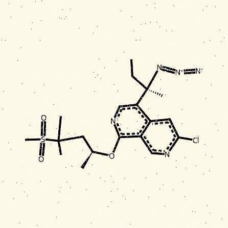 CC[C@@](C)(N=[N+]=[N-])c1cnc(O[C@@H](C)CC(C)(C)S(C)(=O)=O)c2cnc(Cl)cc12